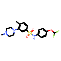 Cc1ccc(S(=O)(=O)Nc2ccc(OC(F)F)cc2)cc1N1CCN(C)CC1